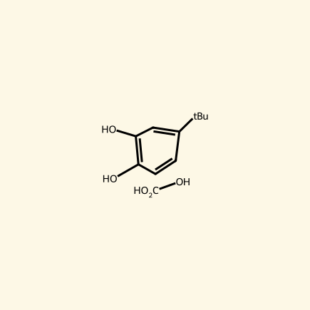 CC(C)(C)c1ccc(O)c(O)c1.O=C(O)O